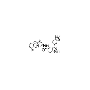 Cc1nc2ccc(-c3n[nH]c4ccc(C(=O)N[C@@H]5C[C@H](C)CN(Cc6c(O)cccc6F)C5)cc34)cc2s1